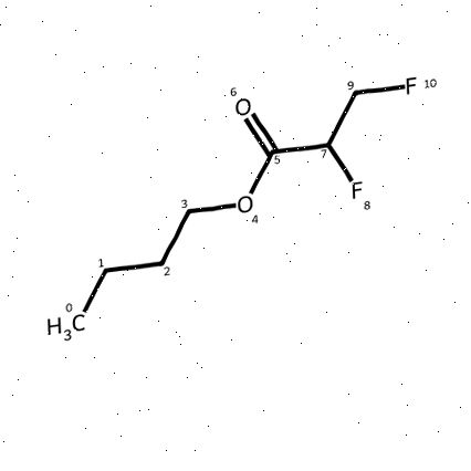 CCCCOC(=O)C(F)CF